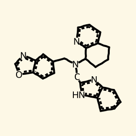 c1cnc2c(c1)CCCC2N(Cc1ccc2ocnc2c1)Cc1nc2ccccc2[nH]1